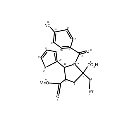 COC(=O)C1CC(CC(C)C)(C(=O)O)N(C(=O)c2ccc(C#N)cc2)C1c1cccs1